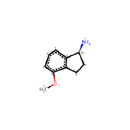 COc1cccc2c1CC[C@@H]2N